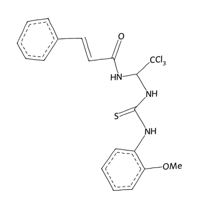 COc1ccccc1NC(=S)NC(NC(=O)/C=C/c1ccccc1)C(Cl)(Cl)Cl